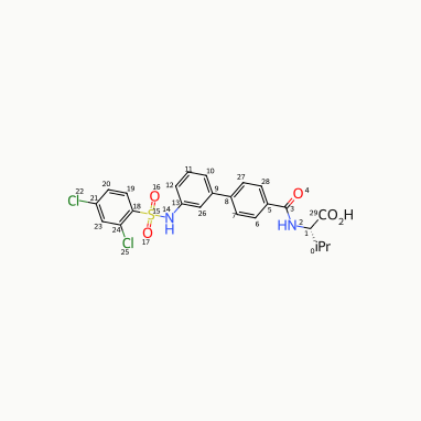 CC(C)[C@H](NC(=O)c1ccc(-c2cccc(NS(=O)(=O)c3ccc(Cl)cc3Cl)c2)cc1)C(=O)O